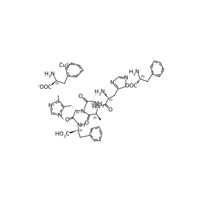 Cc1ncn(C)c1C[C@@H](C(=O)N[C@@H](Cc1ccccc1)C(=O)O)N(C(=O)[C@H](C)N)C(=O)[C@H](C)NC(=O)[C@@H](N)CC1=NC=NC1.N[C@@H](Cc1ccccc1)C(=O)[O-].N[C@@H](Cc1ccccc1)C(=O)[O-].[Cu+2]